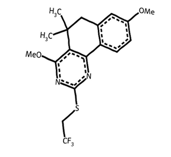 COc1ccc2c(c1)CC(C)(C)c1c(OC)nc(SCC(F)(F)F)nc1-2